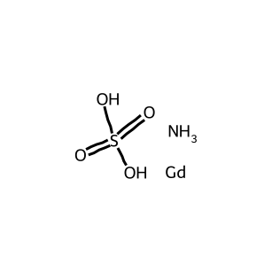 N.O=S(=O)(O)O.[Gd]